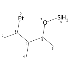 CCC(C)C(C)C(C)O[SiH3]